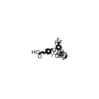 CC(C)N(c1ccc(C(F)(F)F)cc1OCc1ccc(/C=C/C(=O)O)cc1)S(=O)(=O)c1nccs1